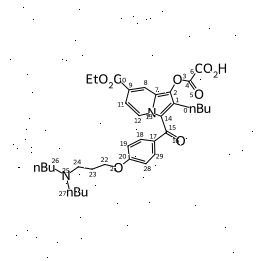 CCCCc1c(OC(=O)C(=O)O)c2cc(C(=O)OCC)ccn2c1C(=O)c1ccc(OCCCN(CCCC)CCCC)cc1